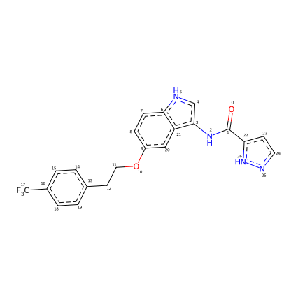 O=C(Nc1c[nH]c2ccc(OCCc3ccc(C(F)(F)F)cc3)cc12)c1ccn[nH]1